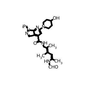 C/C(=C/C(C)=C(\C)CNC(=O)c1cc(N2CCC(O)CC2)nc2c1cnn2C(C)C)NC=O